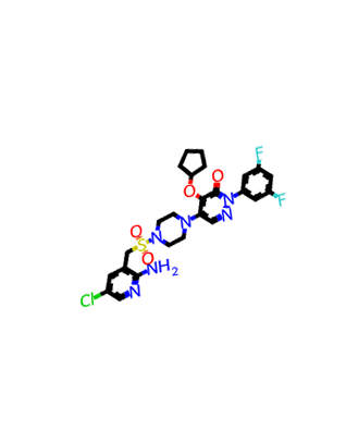 Nc1ncc(Cl)cc1CS(=O)(=O)N1CCN(c2cnn(-c3cc(F)cc(F)c3)c(=O)c2OC2CCCC2)CC1